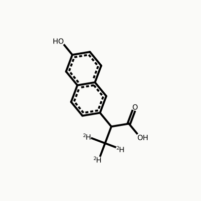 [2H]C([2H])([2H])C(C(=O)O)c1ccc2cc(O)ccc2c1